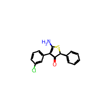 NC1=C(c2cccc(Cl)c2)C(=O)C(c2ccccc2)S1